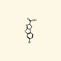 O=C(O)C1CN2C(=N1)Sc1cc(Br)ccc12